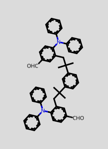 CC(C)(Cc1cc(C=O)ccc1N(c1ccccc1)c1ccccc1)c1cccc(C(C)(C)Cc2cc(C=O)ccc2N(c2ccccc2)c2ccccc2)c1